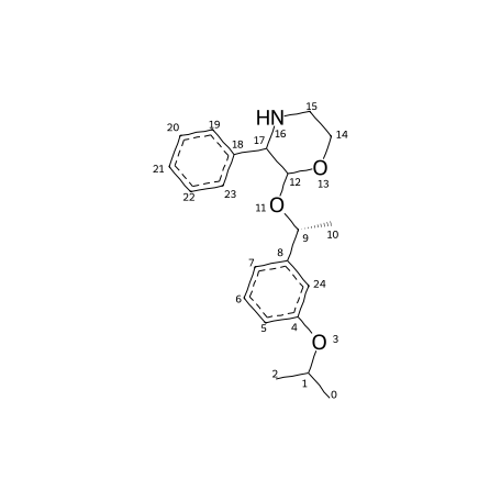 CC(C)Oc1cccc([C@@H](C)OC2OCCNC2c2ccccc2)c1